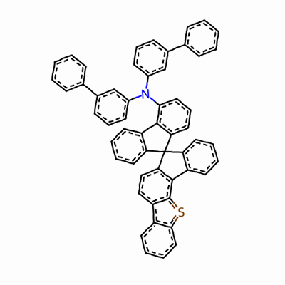 c1ccc(-c2cccc(N(c3cccc(-c4ccccc4)c3)c3cccc4c3-c3ccccc3C43c4ccccc4-c4c3ccc3c4sc4ccccc43)c2)cc1